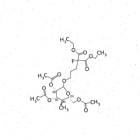 CCOC(=O)C(F)(CCCOC1O[C@H](COC(C)=O)[C@@H](C)[C@H](OC(C)=O)[C@@H]1OC(C)=O)C(=O)OCC